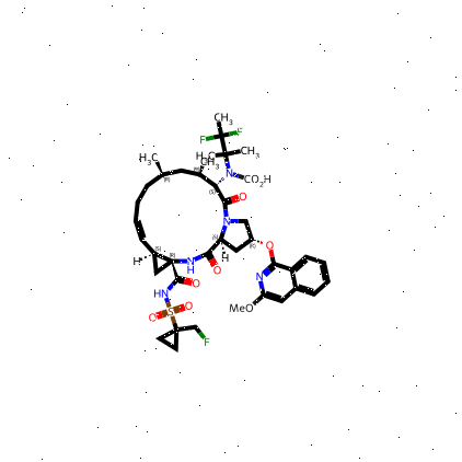 COc1cc2ccccc2c(O[C@@H]2C[C@H]3C(=O)N[C@]4(C(=O)NS(=O)(=O)C5(CF)CC5)C[C@H]4C=CCC[C@@H](C)C[C@@H](C)[C@H](N(C(=O)O)C(C)(C)C(C)(F)F)C(=O)N3C2)n1